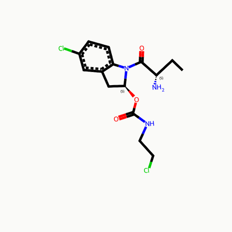 CC[C@H](N)C(=O)N1c2ccc(Cl)cc2C[C@@H]1OC(=O)NCCCl